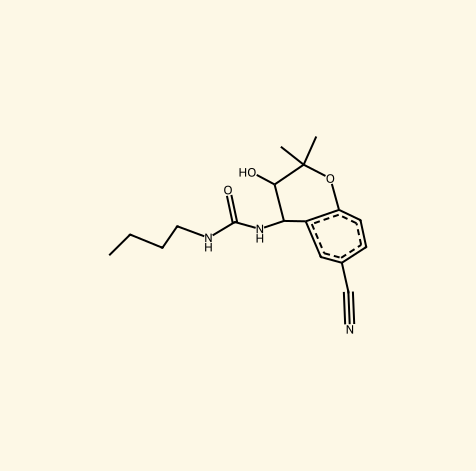 CCCCNC(=O)NC1c2cc(C#N)ccc2OC(C)(C)C1O